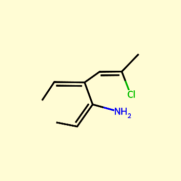 C/C=C(/C=C(/C)Cl)C(\N)=C/C